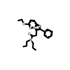 CCCN(CCC)C(=O)Cc1c(-c2ccccc2)nc2ccc(OCC)nn12